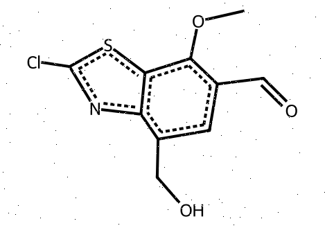 COc1c(C=O)cc(CO)c2nc(Cl)sc12